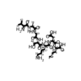 CSCC[C@H](NC(=O)[C@H](CC(=O)O)NC(=O)[C@H](CCCCN)NC(=O)[C@@H](NC(=O)CNC(=O)[C@H](C)NC(=O)[C@@H](N)C(C)C)[C@@H](C)O)C(=O)O